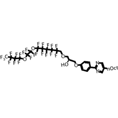 CCCCCCCCc1cnc(-c2ccc(OC[C@@H](O)COCC(F)(F)C(F)(F)C(F)(F)C(F)(F)C(F)(F)OC(F)(F)C(F)(F)OC(F)(F)C(F)(F)C(F)(F)C(F)(F)F)cc2)nc1